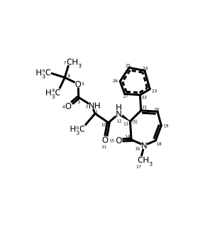 CC(NC(=O)OC(C)(C)C)C(=O)N[C@@H]1C(=O)N(C)C=CC=C1c1ccccc1